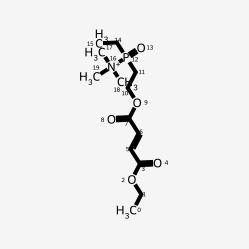 CCOC(=O)/C=C/C(=O)OCCP(=O)(CC)[N+](C)(C)C